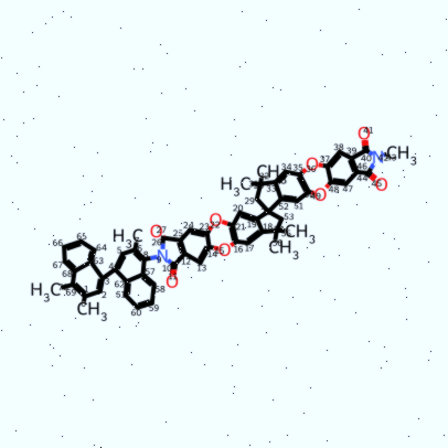 Cc1cc(-c2cc(C)c(-n3c(=O)c4cc5oc6cc7c(cc6oc5cc4c3=O)C3(CC(C)(C)c4cc5oc6cc8c(=O)n(C)c(=O)c8cc6oc5cc43)CC7(C)C)c3ccccc23)c2ccccc2c1C